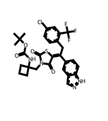 CC(C)(C)OC(=O)NC1(CN2C(=O)SC(=C(Cc3ccc(Cl)cc3C(F)(F)F)c3ccc4[nH]ncc4c3)C2=O)CCC1